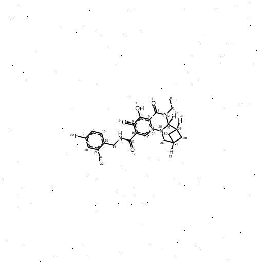 CCN1C(=O)c2c(O)c(=O)c(C(=O)NCc3ccc(F)cc3F)cn2N2C[C@H]3C[C@H](C3)[C@@H]12